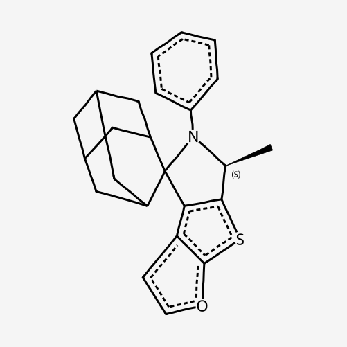 C[C@H]1c2sc3occc3c2C2(C3CC4CC(C3)CC2C4)N1c1ccccc1